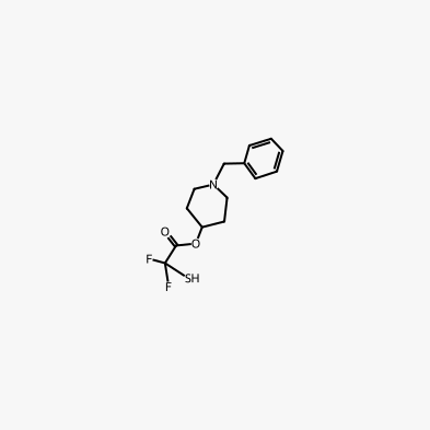 O=C(OC1CCN(Cc2ccccc2)CC1)C(F)(F)S